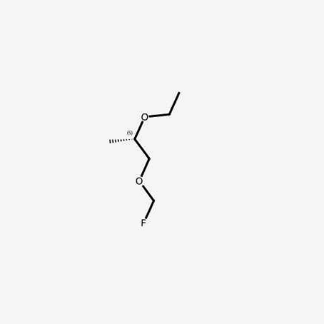 CCO[C@@H](C)COCF